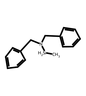 C[SiH2]N(Cc1ccccc1)Cc1ccccc1